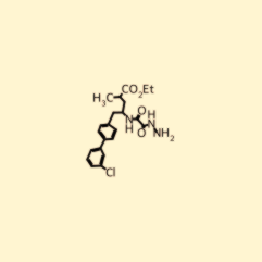 CCOC(=O)C(C)CC(Cc1ccc(-c2cccc(Cl)c2)cc1)NC(=O)C(=O)NN